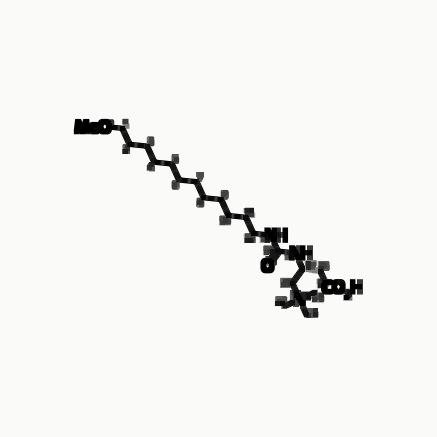 COCCCCCCCCCCCCNC(=O)N[C@H](CC(=O)O)C[N+](C)(C)C